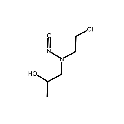 CC(O)CN(CCO)N=O